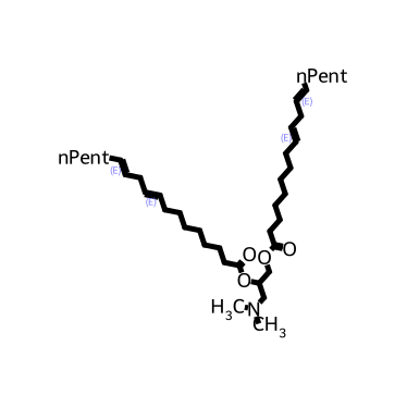 CCCCC/C=C/C/C=C/CCCCCCCC(=O)OCC(CN(C)C)OC(=O)CCCCCCC/C=C/C/C=C/CCCCC